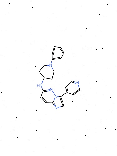 c1ccc(N2CCC(Nc3ccc4ncc(-c5ccncc5)n4n3)CC2)cc1